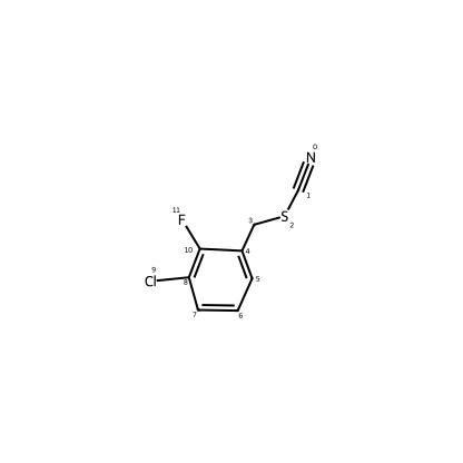 N#CSCc1cccc(Cl)c1F